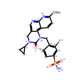 COc1ccc2c3c(cnc2n1)CN(C1CC1)C(=O)N3Cc1c(F)cc(S(N)(=O)=O)cc1F